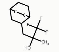 CC(O)(CC1CC2CCC1CC2)C(F)(F)F